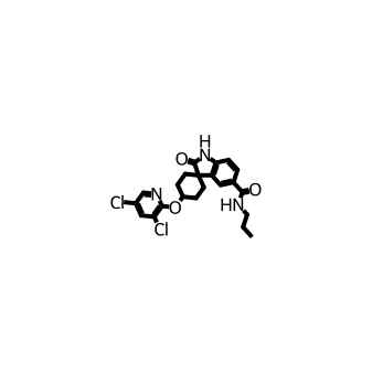 CCCNC(=O)c1ccc2c(c1)C1(CCC(Oc3ncc(Cl)cc3Cl)CC1)C(=O)N2